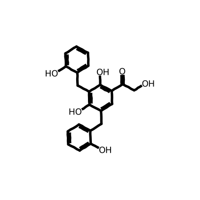 O=C(CO)c1cc(Cc2ccccc2O)c(O)c(Cc2ccccc2O)c1O